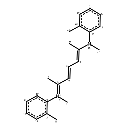 C\C(=C/C=C/C(C)=[N+](\C)c1ccccc1C)N(C)c1ccccc1C